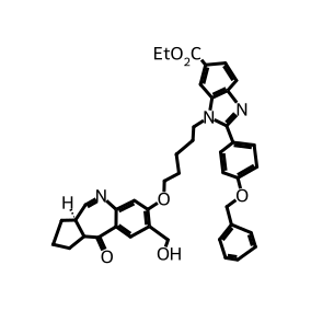 CCOC(=O)c1ccc2nc(-c3ccc(OCc4ccccc4)cc3)n(CCCCCOc3cc4c(cc3CO)C(=O)C3CCC[C@H]3C=N4)c2c1